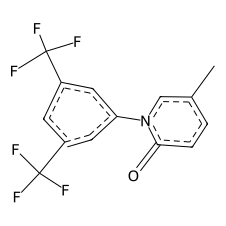 Cc1ccc(=O)n(-c2cc(C(F)(F)F)cc(C(F)(F)F)c2)c1